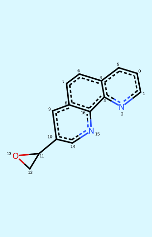 c1cnc2c(c1)ccc1cc(C3CO3)cnc12